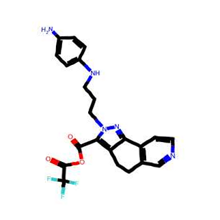 Nc1ccc(NCCCn2nc3c(c2C(=O)OC(=O)C(F)(F)F)CCc2cnccc2-3)cc1